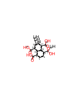 O=C(O)c1ccc(C(=O)O)c2c(C(=O)O)ccc(C(=O)O)c12.[LiH].[LiH].[LiH].[LiH]